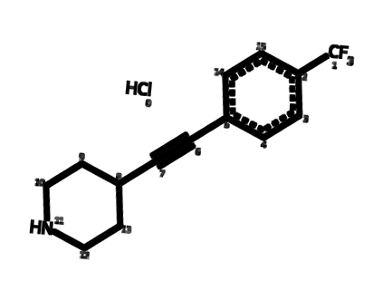 Cl.FC(F)(F)c1ccc(C#CC2CCNCC2)cc1